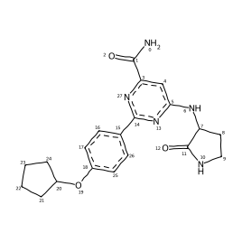 NC(=O)c1cc(NC2CCNC2=O)nc(-c2ccc(OC3CCCC3)cc2)n1